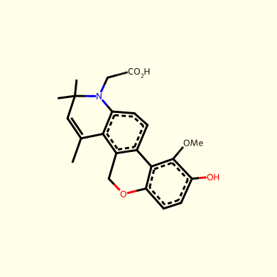 COc1c(O)ccc2c1-c1ccc3c(c1CO2)C(C)=CC(C)(C)N3CC(=O)O